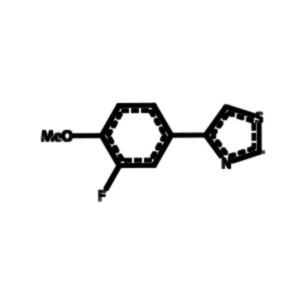 COc1ccc(-c2cs[c]n2)cc1F